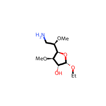 CCO[C@H]1O[C@H]([C@@H](CN)OC)[C@H](OC)[C@H]1O